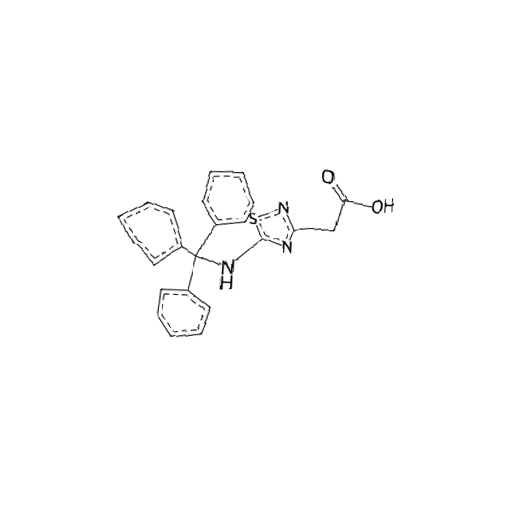 O=C(O)Cc1nsc(NC(c2ccccc2)(c2ccccc2)c2ccccc2)n1